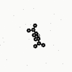 c1ccc(-c2cc(-c3ccccc3)cc(-c3ccc4oc5ccc(-c6cc(-c7ccccc7)cc(-c7ccccc7)c6)c6cccc(c7cccc3c47)c56)c2)cc1